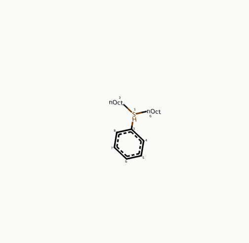 CCCCCCCC[SH](CCCCCCCC)c1ccccc1